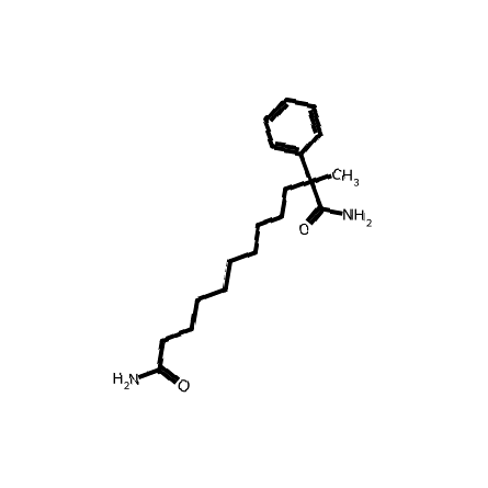 CC(CCCCCCCCCC(N)=O)(C(N)=O)c1ccccc1